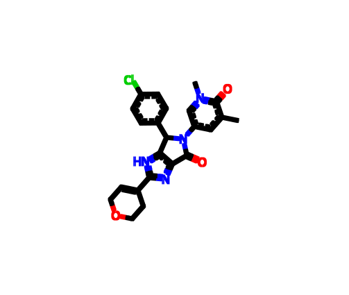 Cc1cc(N2C(=O)c3nc(C4=CCOCC4)[nH]c3C2c2ccc(Cl)cc2)cn(C)c1=O